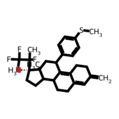 C=C1C=C2CCC3C(=C2CC1)C(c1ccc(SC)cc1)CC1(C)C3CC[C@@]1(C)C(C)(F)C(F)(F)F